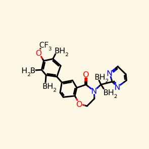 Bc1cc(-c2ccc3c(c2)C(=O)N(C(B)(B)c2ncccn2)CCO3)c(B)c(B)c1OC(F)(F)F